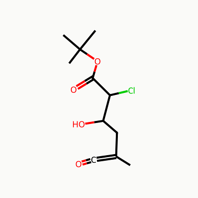 CC(=C=O)CC(O)C(Cl)C(=O)OC(C)(C)C